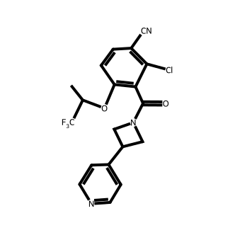 CC(Oc1ccc(C#N)c(Cl)c1C(=O)N1CC(c2ccncc2)C1)C(F)(F)F